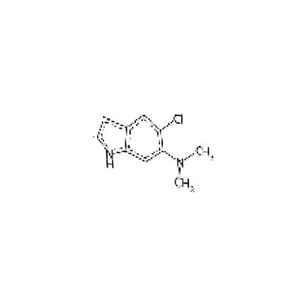 CN(C)c1cc2[nH][c]cc2cc1Cl